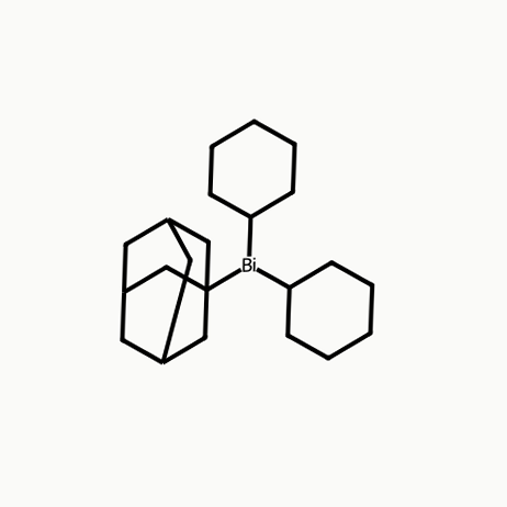 C1CC[CH]([Bi]([CH]2CCCCC2)[C]23CC4CC(CC(C4)C2)C3)CC1